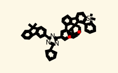 CC1(C)c2ccccc2-c2cc(-c3nc(-c4ccccc4)nc(-c4cccc(-c5cccc6c5C5(c7c-6ccc6c7-c7ccccc7[Si]6(C)C)C6CC7CC(C6)CC5C7)c4)n3)ccc21